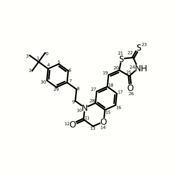 CC(C)(C)c1ccc(CCN2C(=O)COc3ccc(C=C4SC(=S)NC4=O)cc32)cc1